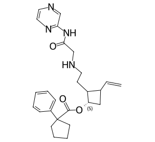 C=CC1C[C@H](OC(=O)C2(c3ccccc3)CCCC2)C1CCNCC(=O)Nc1cnccn1